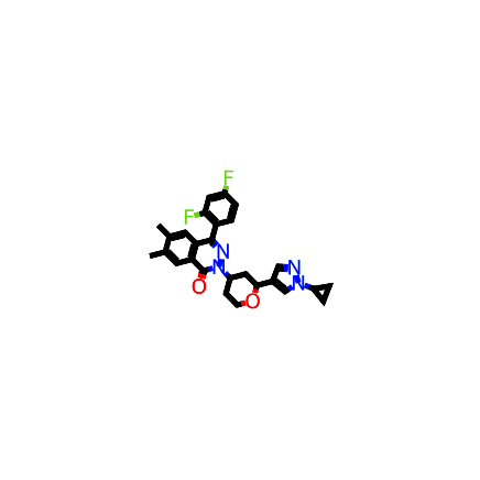 Cc1cc2c(-c3ccc(F)cc3F)nn(C3CCOC(c4cnn(C5CC5)c4)C3)c(=O)c2cc1C